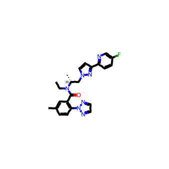 CCN(C(=O)c1cc(C)ccc1-n1nccn1)[C@H](C)Cn1ccc(-c2ccc(F)cn2)n1